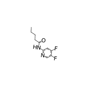 CCCCC(=O)Nc1cc(F)c(F)cn1